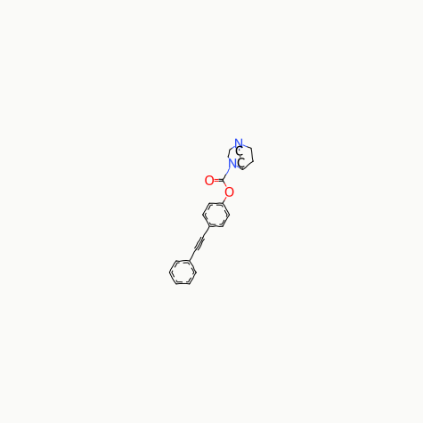 O=C(Oc1ccc(C#Cc2ccccc2)cc1)N1CCN2CCC1CC2